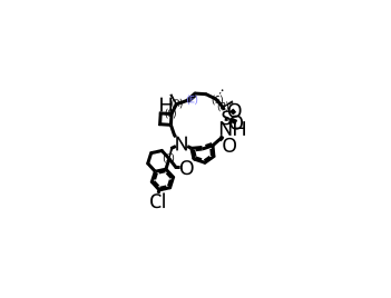 C[C@@H]1[C@@H](C)C/C=C/[C@H](C)[C@@H]2CCC2CN2C[C@@]3(CCCc4cc(Cl)ccc43)COc3ccc(cc32)C(=O)NS1(=O)=O